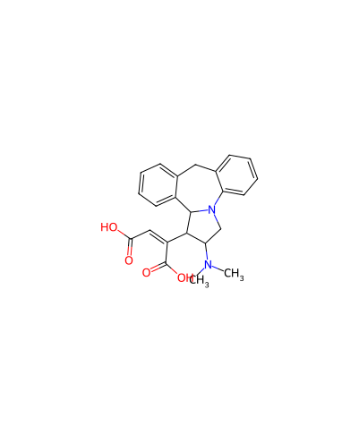 CN(C)C1CN2c3ccccc3Cc3ccccc3C2C1C(=CC(=O)O)C(=O)O